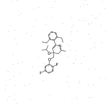 CCc1cccc(CC)c1C1=CC(COc2cc(F)ccc2F)(OC(C)C)CC(C)=N1